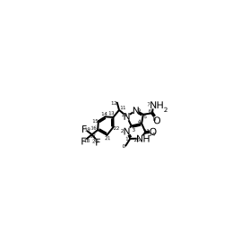 Cc1nc2c(c(C(N)=O)nn2C(C)c2ccc(C(F)(F)F)cc2)c(=O)[nH]1